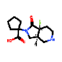 O=C(O)C1(N2C[C@@H]3CNCC[C@]3(F)C2=O)CCCC1